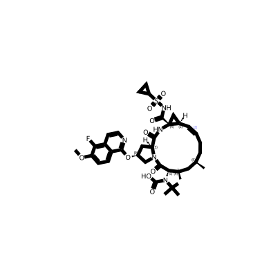 COc1ccc2c(O[C@@H]3C[C@H]4C(=O)N[C@]5(C(=O)NS(=O)(=O)C6CC6)C[C@H]5/C=C\CC[C@@H](C)C[C@@H](C)[C@H](N(C(=O)O)C(C)(C)C)C(=O)N4C3)nccc2c1F